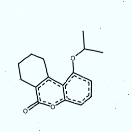 CC(C)Oc1cccc2oc(=O)c3c(c12)CCCC3